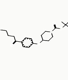 CC(C)(C)OC(=O)N1CCC(Oc2ccc(C(=O)CCCCl)cc2)CC1